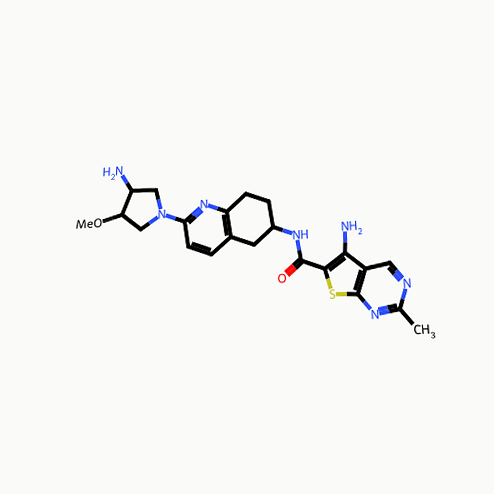 COC1CN(c2ccc3c(n2)CCC(NC(=O)c2sc4nc(C)ncc4c2N)C3)CC1N